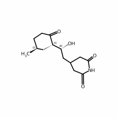 C[C@H]1CCC(=O)[C@H]([C@H](O)CC2CC(=O)NC(=O)C2)C1